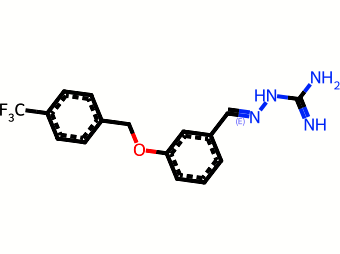 N=C(N)N/N=C/c1cccc(OCc2ccc(C(F)(F)F)cc2)c1